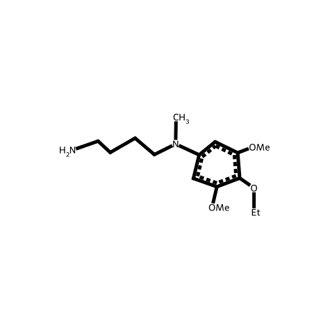 CCOc1c(OC)cc(N(C)CCCCN)cc1OC